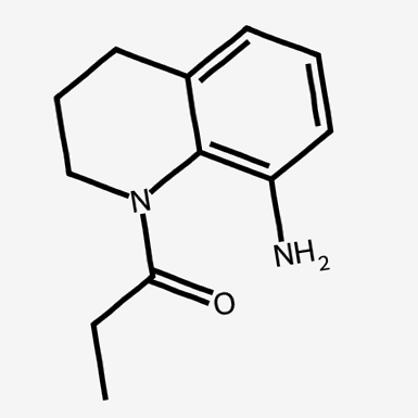 CCC(=O)N1CCCc2cccc(N)c21